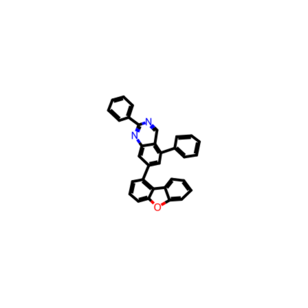 c1ccc(-c2ncc3c(-c4ccccc4)cc(-c4cccc5oc6ccccc6c45)cc3n2)cc1